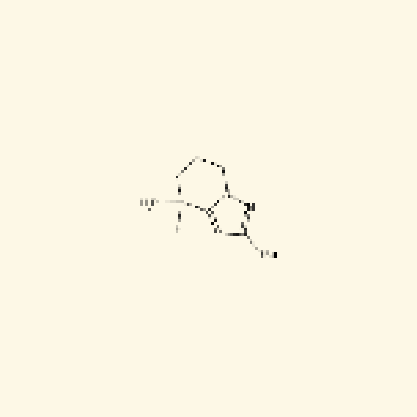 CC(C)(C)c1cc2n(n1)CCCC2(F)P